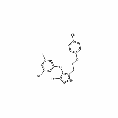 CCc1n[nH]c(CCOc2ccc(C#N)cc2)c1Oc1cc(F)cc(C#N)c1